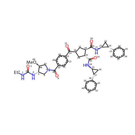 CCNC(=O)N[C@H]1CN(C(=O)c2ccc(C(=O)C3C[C@@H](C(=O)N[C@H]4C[C@@H]4c4ccccc4)[C@H](C(=O)N[C@H]4C[C@@H]4c4ccccc4)C3)cc2)C[C@@H]1OC